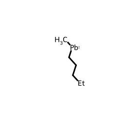 CCCC[CH2][Pb][CH3]